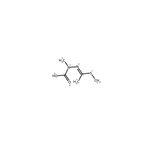 CS/C(C)=N/N(C)C(=O)O